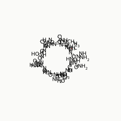 CCCC[C@H]1C(=O)N(C)[C@@H](CCCC)C(=O)N[C@@H](CCCNC(=N)N)C(=O)N[C@H](C(=O)NCC(N)=O)CSCC(=O)N[C@@H](Cc2ccc(O)cc2)C(=O)N(C)[C@@H](C)C(=O)N[C@@H](CCN)C(=O)N2CCC[C@H]2C(=O)N[C@@H](Cc2c[nH]cn2)C(=O)N[C@@H](CCC(=O)O)C(=O)N2C[C@H](O)C[C@H]2C(=O)N[C@@H](Cc2c[nH]c3ccccc23)C(=O)N[C@@H](CCN)C(=O)N[C@@H](Cc2c[nH]c3ccccc23)C(=O)N1C